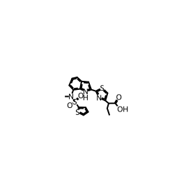 CCC(C(=O)O)c1csc(-c2cc3cccc(N(C)S(=O)(=O)c4cccs4)c3[nH]2)n1